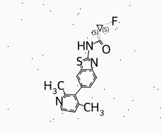 Cc1ccnc(C)c1-c1ccc2nc(NC(=O)[C@@H]3C[C@@H]3F)sc2c1